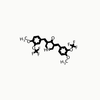 COc1ccc(C=C2CNCC(=Cc3ccc(OC)c(OC(F)(F)F)c3)C2=O)cc1OC(F)(F)F